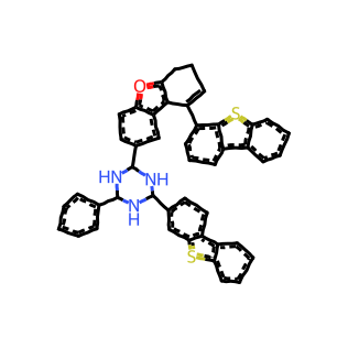 C1=C(c2cccc3c2sc2ccccc23)c2c(oc3ccc(C4NC(c5ccccc5)NC(c5ccc6c(c5)sc5ccccc56)N4)cc23)CC1